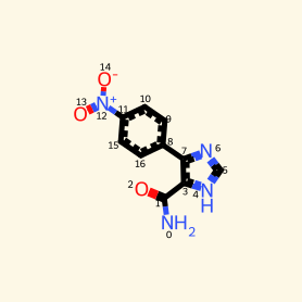 NC(=O)c1[nH]cnc1-c1ccc([N+](=O)[O-])cc1